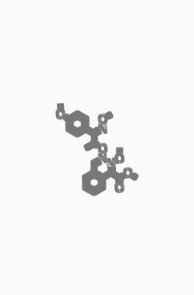 CON=C(C(=O)OC)c1ccccc1C=NOC(C)C(=NOC)c1ccc(OC)cc1